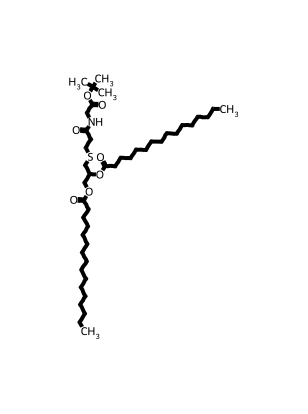 CCCCCCCCCCCCCCCC(=O)OCC(CSCCC(=O)NCC(=O)OC(C)(C)C)OC(=O)CCCCCCCCCCCCCCC